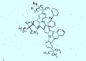 CC(C)(C)c1ccc2c(c1)c1cc3ccccc3c3c4cc5c(cc4n2c13)c1cc(C(C)(C)C)cc2c3cc(C(C)(C)C)cc(N(c4ccccc4)c4ccccc4)c3n5c12